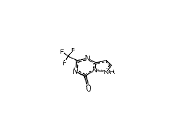 O=c1nc(C(F)(F)F)nc2cc[nH]n12